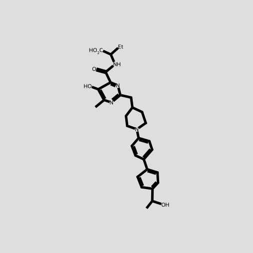 CCC(NC(=O)c1nc(CC2CCN(c3ccc(-c4ccc(C(C)O)cc4)cc3)CC2)nc(C)c1O)C(=O)O